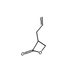 C=CCC1COC1=O